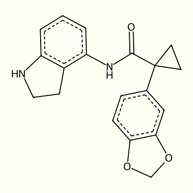 O=C(Nc1cccc2c1CCN2)C1(c2ccc3c(c2)OCO3)CC1